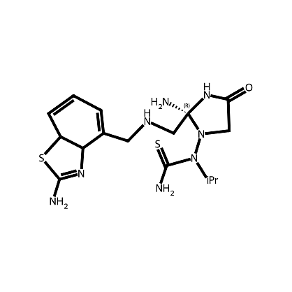 CC(C)N(C(N)=S)N1CC(=O)N[C@]1(N)CNCC1=CC=CC2SC(N)=NC12